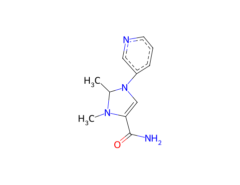 CC1N(C)C(C(N)=O)=CN1c1cccnc1